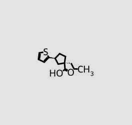 CCC[C@@]1(C(=O)O)CC[C@H](c2cccs2)C1